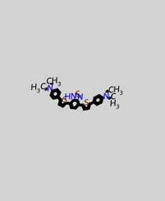 CCN(CC)c1ccc(-c2ccc(C3=CC=C(c4ccc(-c5ccc(N(CC)CC)cc5)s4)C4NSN=C34)s2)cc1